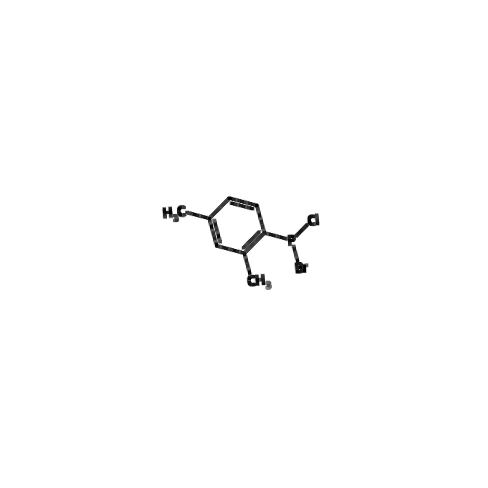 Cc1ccc(P(Cl)Br)c(C)c1